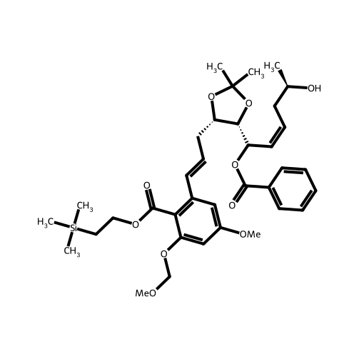 COCOc1cc(OC)cc(/C=C/C[C@@H]2OC(C)(C)O[C@@H]2C(/C=C\C[C@@H](C)O)OC(=O)c2ccccc2)c1C(=O)OCC[Si](C)(C)C